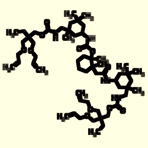 C=CCOCC(CC)(COCC=C)COC(=O)NCC1(C)CC(NC(=O)CC2(C)CCCCC2(C)OC(=O)NC2CC(C)(C)CC(C)(CNC(=O)OCC(CC)(COCC=C)COCC=C)C2)CC(C)(C)C1